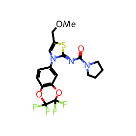 COCc1cn(-c2ccc3c(c2)OC(F)(F)C(F)(F)O3)c(=NC(=O)N2CCCC2)s1